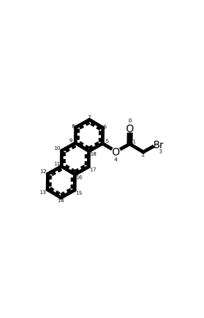 O=C(CBr)Oc1cccc2cc3ccccc3cc12